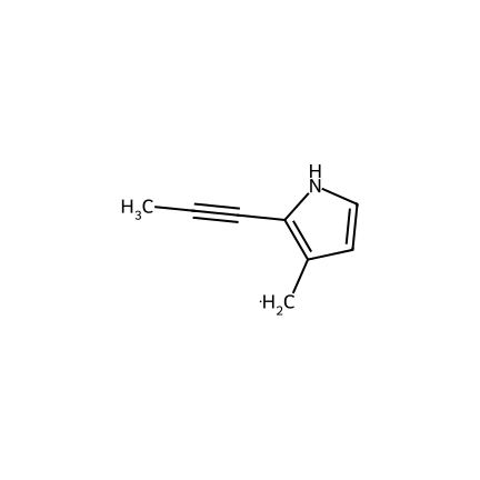 [CH2]c1cc[nH]c1C#CC